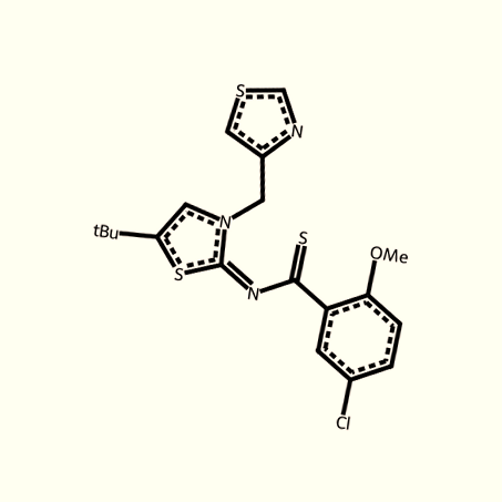 COc1ccc(Cl)cc1C(=S)N=c1sc(C(C)(C)C)cn1Cc1cscn1